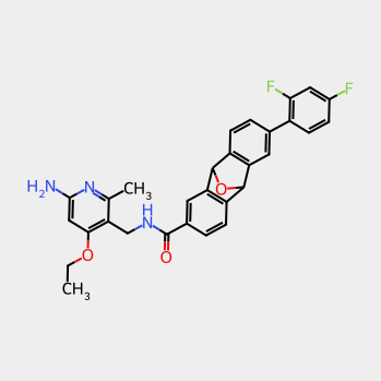 CCOc1cc(N)nc(C)c1CNC(=O)c1ccc2c(c1)C1OC2c2cc(-c3ccc(F)cc3F)ccc21